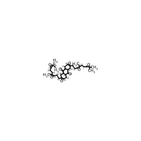 CC1(C)OC1CCC1(C)OC1CCC12CC3C(=O)C4CC5OC5(CCC5OC5(C)CCC5OC5(C)C)CC4C(=O)C3CC1O2